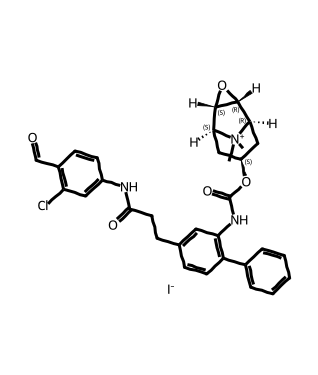 C[N+]1(C)[C@@H]2C[C@@H](OC(=O)Nc3cc(CCC(=O)Nc4ccc(C=O)c(Cl)c4)ccc3-c3ccccc3)C[C@H]1[C@@H]1O[C@@H]12.[I-]